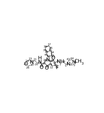 CN1CCN(CCCNc2c(F)cc3c(=O)c(C(=O)NCCN4CCOCC4)cn4c3c2Oc2cc3ccccc3cc2-4)CC1